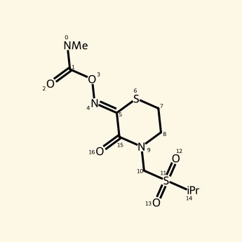 CNC(=O)ON=C1SCCN(CS(=O)(=O)C(C)C)C1=O